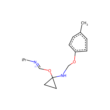 Cc1ccc(OCNC2(O/C=N/C(C)C)CC2)cc1